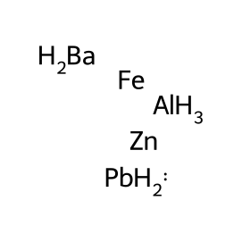 [AlH3].[BaH2].[Fe].[PbH2].[Zn]